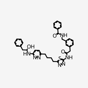 O=C(Cc1cccc(CNC(=O)c2ccccc2)c1)Nc1nnc(CCCCc2ccc(NC(O)Cc3ccccc3)nn2)s1